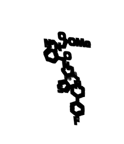 COC(=O)Cn1cnc2cccc(C(=O)N3C[C@@H](CN4CCC(c5ccc(F)cc5)CC4)[C@H](c4ccsc4)C3)c21